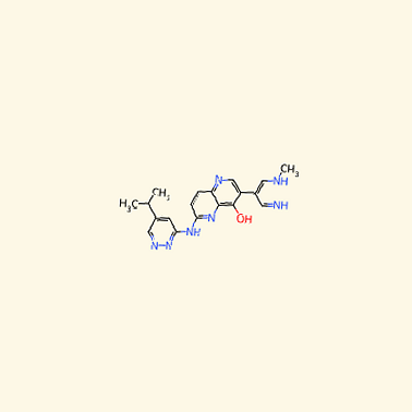 CN/C=C(\C=N)c1cnc2ccc(Nc3cc(C(C)C)cnn3)nc2c1O